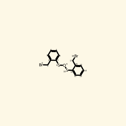 BrCc1ccccc1SOSc1ccccc1CBr